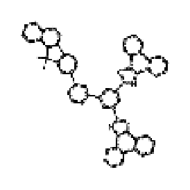 CC1(C)c2cc(-c3cccc(-c4cc(-c5nc6c7ccccc7c7ccccc7c6o5)cc(-c5nc6c7ccccc7c7ccccc7c6o5)c4)c3)ccc2-c2ccc3ccccc3c21